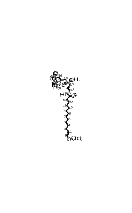 CCCCCCCCC=CCCCCCCCCCCCC(=O)NCCC[N+](C)(C)CC(O)CS(=O)(=O)[O-]